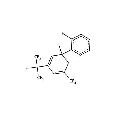 Fc1ccccc1C1(I)[CH]C(C(F)(F)F)=CC(C(F)(C(F)(F)F)C(F)(F)F)=C1